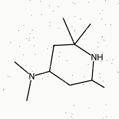 CC1CC(N(C)C)CC(C)(C)N1